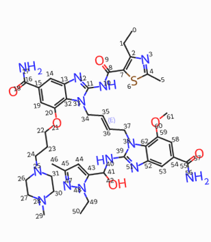 CCc1nc(C)sc1C(=O)Nc1nc2cc(C(N)=O)cc(OCCCN3CCN(C)CC3)c2n1C/C=C/Cn1c(NC(O)c2cc(C)nn2CC)nc2cc(C(N)=O)cc(OC)c21